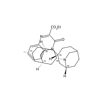 CCOC(=O)c1nc2ccccc2n([C@@H]2CCC3CC[C@H](C2)N([C@H]2C[C@@H]4C[C@@H](C)C[C@@H](C4)C2)C3)c1=O